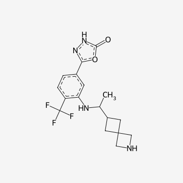 CC(Nc1cc(-c2n[nH]c(=O)o2)ccc1C(F)(F)F)C1CC2(CNC2)C1